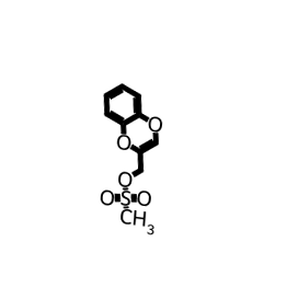 CS(=O)(=O)OCC1=COc2ccccc2O1